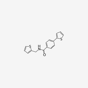 O=C(NCc1cccs1)c1ccc(-c2cccs2)cc1